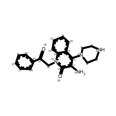 Nc1c(N2CCNCC2)c2ccccc2n(CC(=O)c2ccccc2)c1=O